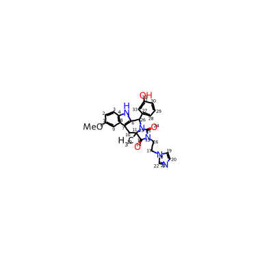 COc1ccc2[nH]c3c(c2c1)CC1(C)C(=O)N(CCn2ccnc2)C(=O)N1C3c1cccc(O)c1